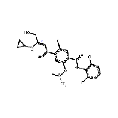 C[C@H](Oc1cc(C(=N)/C=C(/CO)NC2CC2)c(F)cc1C(=O)Nc1c(F)cccc1Cl)C(F)(F)F